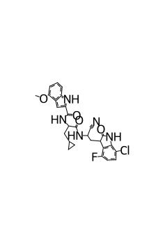 COc1cccc2[nH]c(C(=O)NC(CC3CC3)C(=O)NC(C#N)CC3C(=O)Nc4c(Cl)ccc(F)c43)cc12